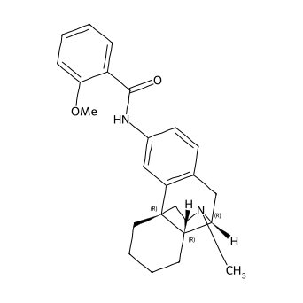 COc1ccccc1C(=O)Nc1ccc2c(c1)[C@@]13CCCC[C@H]1[C@@H](C2)N(C)CC3